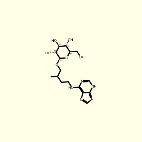 CC(CCNc1nc[nH]c2ncnc1-2)CO[C@@H]1O[C@H](CO)[C@@H](O)[C@H](O)[C@H]1O